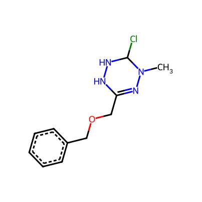 CN1N=C(COCc2ccccc2)NNC1Cl